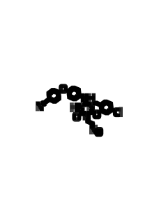 N#Cc1ccc(Oc2ccc(NC3NC(=O)N(CCN=O)C(=O)N3Cc3ccc(Cl)cc3)cc2)cc1